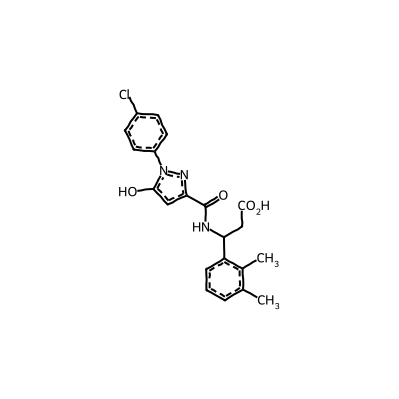 Cc1cccc(C(CC(=O)O)NC(=O)c2cc(O)n(-c3ccc(Cl)cc3)n2)c1C